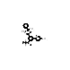 Cc1ccc(-c2cc(C(=O)NC(C)(C)c3ccccc3)cc(C(O)C(F)(F)F)c2)nc1